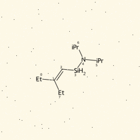 CCC(=C[SiH2]N(C(C)C)C(C)C)CC